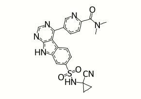 CN(C)C(=O)c1ccc(-c2ncnc3[nH]c4cc(S(=O)(=O)NC5(C#N)CC5)ccc4c23)cn1